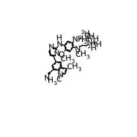 [2H]C([2H])([2H])N(CCN(C)c1cc(OC)c(Nc2nccc(-c3cc(C#N)c4c(c3)c(C)cn4C)n2)cc1N)C([2H])([2H])[2H]